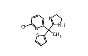 CC(C1=NCCN1)(c1cccc(Cl)n1)c1cccs1